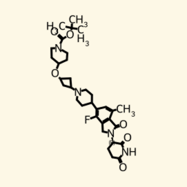 Cc1cc(C2CCN(C3CC(OC4CCN(C(=O)OC(C)(C)C)CC4)C3)CC2)c(F)c2c1C(=O)N([C@@H]1CCC(=O)NC1=O)C2